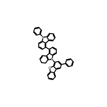 C1=Cc2c(n(-c3cc(-c4ccccc4)cc4c3oc3ccccc34)c3cccc(-c4cccc5c4c4ccccc4n5-c4ccccc4)c23)CC1